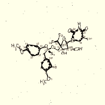 COc1ccc(CP(=S)(OC[C@@]2(C(F)F)O[C@@H](n3cc(F)c(=O)[nH]c3=O)[C@H](O)[C@@H]2O)Oc2ccc(OC)cc2)cc1